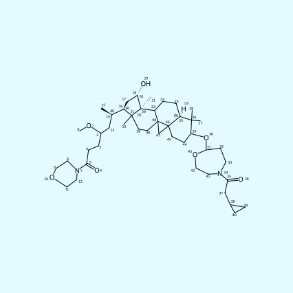 COC(CCC(=O)N1CCOCC1)C[C@@H](C)[C@H]1C[C@H](O)[C@@]2(C)C3CC[C@H]4C(C)(C)C(OC5CCN(C(=O)CC6CC6)CCO5)CCC45CC35CCC12C